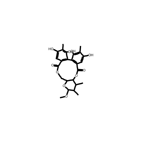 COC1OC2COC(=O)c3cc(O)c(C)c(O)c3-c3c(cc(O)c(C)c3O)C(=O)OC2C(C)C1C